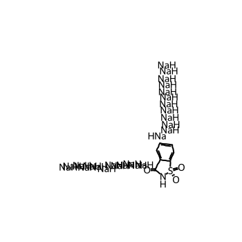 O=C1NS(=O)(=O)c2ccccc21.[NaH].[NaH].[NaH].[NaH].[NaH].[NaH].[NaH].[NaH].[NaH].[NaH].[NaH].[NaH].[NaH].[NaH].[NaH].[NaH].[NaH].[NaH].[NaH].[NaH].[NaH].[NaH].[NaH].[NaH].[NaH]